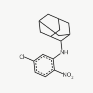 O=[N+]([O-])c1ccc(Cl)cc1NC1C2CC3CC(C2)CC1C3